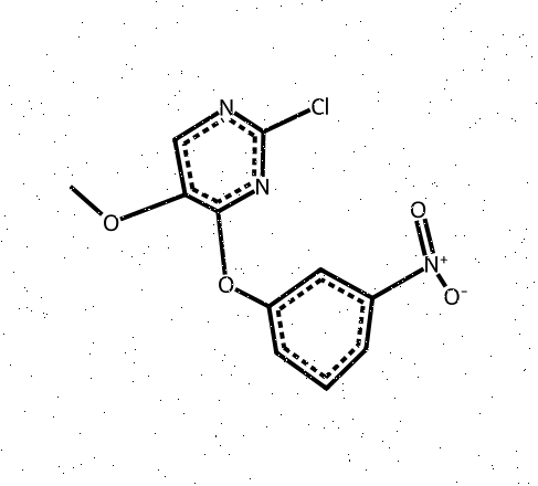 COc1cnc(Cl)nc1Oc1cccc([N+](=O)[O-])c1